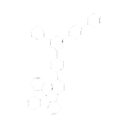 c1ccc(-c2ccc(-c3nc(-c4ccccc4)nc(-c4ccc(-c5ccc6c(c5)C(c5ccccc5)(c5ccccc5)c5ccccc5-6)cc4)n3)cc2)cc1